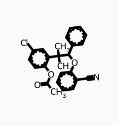 CC(=O)Oc1ccc(Cl)cc1C(C)(C)C(Oc1ccccc1C#N)c1ccccc1